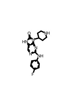 O=c1[nH]c2cnc(Nc3ccc(F)cc3)nc2n1C1CCNCC1